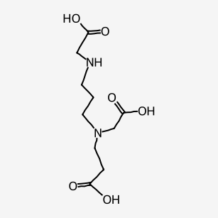 O=C(O)CCN(CCCNCC(=O)O)CC(=O)O